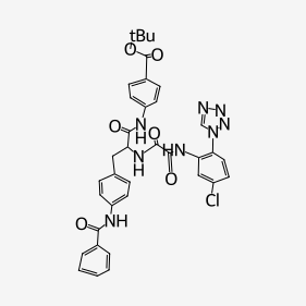 CC(C)(C)OC(=O)c1ccc(NC(=O)C(Cc2ccc(NC(=O)c3ccccc3)cc2)NC(=O)C(=O)Nc2cc(Cl)ccc2-n2cnnn2)cc1